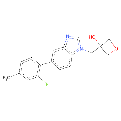 OC1(Cn2cnc3cc(-c4ccc(C(F)(F)F)cc4F)ccc32)COC1